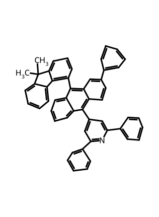 CC1(C)c2ccccc2-c2c(-c3c4ccccc4c(-c4cc(-c5ccccc5)nc(-c5ccccc5)c4)c4ccc(-c5ccccc5)cc34)cccc21